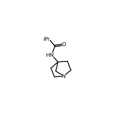 CC(C)C(=O)NC12CCN(CC1)C2